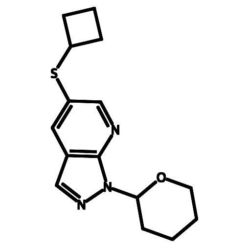 c1nc2c(cnn2C2CCCCO2)cc1SC1CCC1